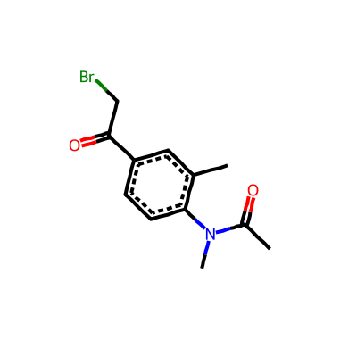 CC(=O)N(C)c1ccc(C(=O)CBr)cc1C